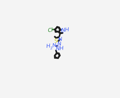 Cc1sc(/N=C(\N)NCc2ccccc2)nc1-c1c[nH]c2ccc(Cl)cc12